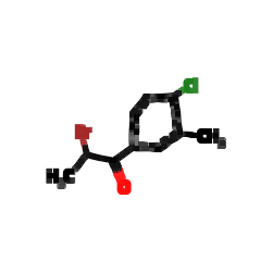 Cc1cc(C(=O)C(C)Br)ccc1Cl